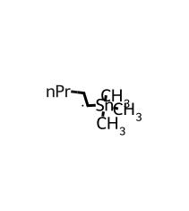 CCCC[CH][Sn]([CH3])([CH3])[CH3]